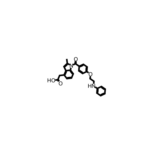 Cc1cc2c(CC(=O)O)cccc2n1C(=O)c1ccc(OCCNc2ccccc2)cc1